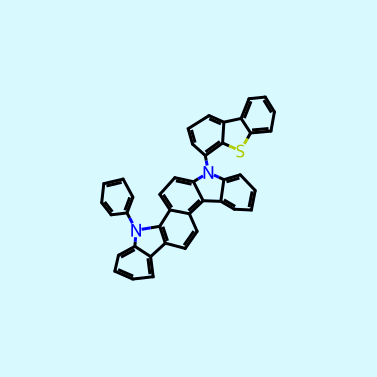 c1ccc(-n2c3ccccc3c3ccc4c(ccc5c4c4ccccc4n5-c4cccc5c4sc4ccccc45)c32)cc1